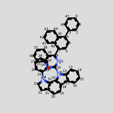 c1ccc(-c2ccc(-c3nc(-n4c5ccccc5c5ccc6ccn(-c7ccccc7)c6c54)nc4ccccc34)c3ccccc23)cc1